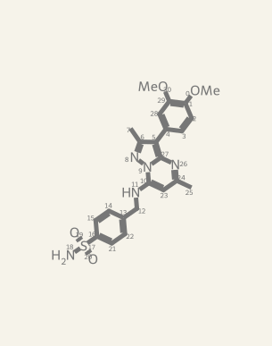 COc1ccc(-c2c(C)nn3c(NCc4ccc(S(N)(=O)=O)cc4)cc(C)nc23)cc1OC